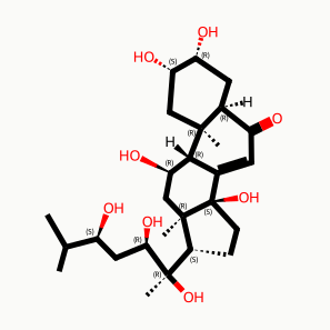 CC(C)[C@@H](O)C[C@@H](O)[C@](C)(O)[C@H]1CC[C@@]2(O)C3=CC(=O)[C@@H]4C[C@@H](O)[C@@H](O)C[C@]4(C)[C@H]3[C@H](O)C[C@]12C